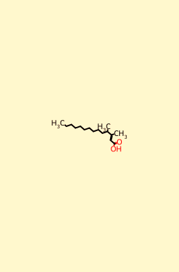 CCCCCCCCCCC(C)/C(C)=C/C(=O)O